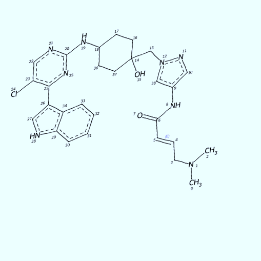 CN(C)C/C=C/C(=O)Nc1cnn(CC2(O)CCC(Nc3ncc(Cl)c(-c4c[nH]c5ccccc45)n3)CC2)c1